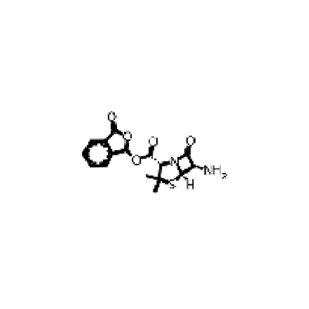 CC1(C)S[C@@H]2[C@H](N)C(=O)N2[C@H]1C(=O)OC1OC(=O)c2ccccc21